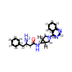 NC(CC(=O)N[C@H]1[C@@H]2CN(c3ncnc4ccccc34)C[C@@H]21)Cc1ccccc1